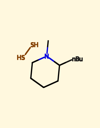 CCCCC1CCCCN1C.SS